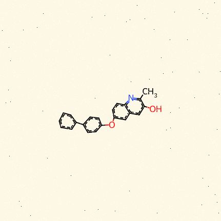 Cc1nc2ccc(Oc3ccc(-c4ccccc4)cc3)cc2cc1O